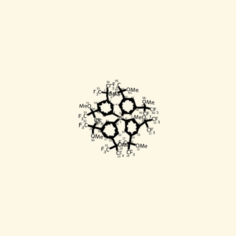 COC(c1cc([B-](c2cc(C(OC)(C(F)(F)F)C(F)(F)F)cc(C(OC)(C(F)(F)F)C(F)(F)F)c2)(c2cc(C(OC)(C(F)(F)F)C(F)(F)F)cc(C(OC)(C(F)(F)F)C(F)(F)F)c2)c2cc(C(OC)(C(F)(F)F)C(F)(F)F)cc(C(OC)(C(F)(F)F)C(F)(F)F)c2)cc(C(OC)(C(F)(F)F)C(F)(F)F)c1)(C(F)(F)F)C(F)(F)F